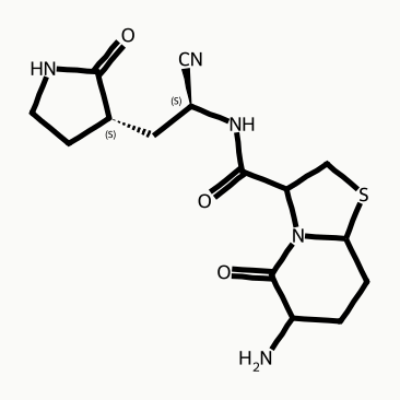 N#C[C@H](C[C@@H]1CCNC1=O)NC(=O)C1CSC2CCC(N)C(=O)N21